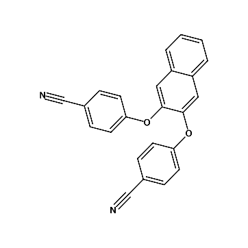 N#Cc1ccc(Oc2cc3ccccc3cc2Oc2ccc(C#N)cc2)cc1